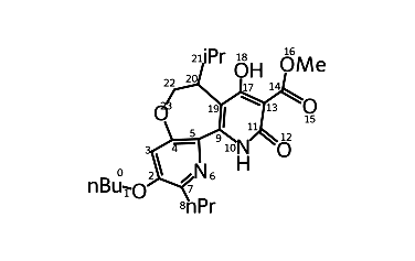 CCCCOc1cc2c(nc1CCC)-c1[nH]c(=O)c(C(=O)OC)c(O)c1C(C(C)C)CO2